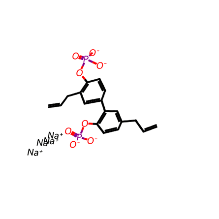 C=CCc1ccc(OP(=O)([O-])[O-])c(-c2ccc(OP(=O)([O-])[O-])c(CC=C)c2)c1.[Na+].[Na+].[Na+].[Na+]